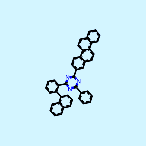 c1ccc(-c2nc(-c3ccc4c(ccc5c6ccccc6ccc45)c3)nc(-c3ccccc3-c3cccc4ccccc34)n2)cc1